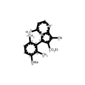 CCOC(=O)c1c(C#N)c2nccc(C)n2c1-c1c(C)ccc(OC)c1C